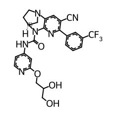 N#Cc1cc2c(nc1-c1cccc(C(F)(F)F)c1)N(C(=O)Nc1ccnc(OCC(O)CO)c1)[C@H]1CCN2C1